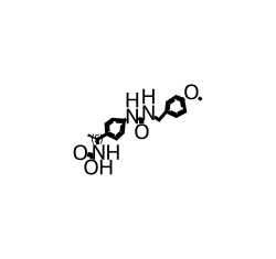 COc1ccc(CNC(=O)Nc2ccc([C@H](C)NC(=O)O)cc2)cc1